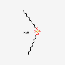 CCCCCCCCCCOS(=O)(=O)OCCCCCCCCCC.[NaH]